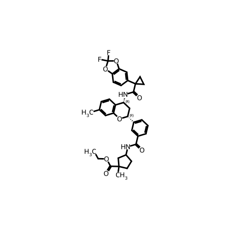 CCOC(=O)C1(C)CCC(NC(=O)c2cccc([C@H]3C[C@@H](NC(=O)C4(c5ccc6c(c5)OC(F)(F)O6)CC4)c4ccc(C)cc4O3)c2)C1